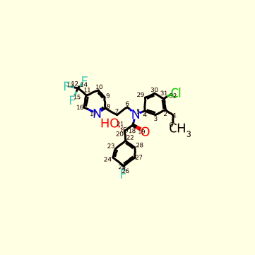 CCc1cc(N(CCc2ccc(C(F)(F)F)cn2)C(=O)[C@@H](O)c2ccc(F)cc2)ccc1Cl